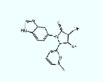 CC(=O)C1=C(O)C(=O)N(c2ccc3[nH]cnc3c2)C1c1cccc(C)n1